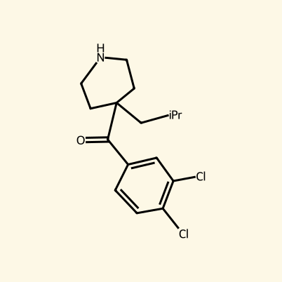 CC(C)CC1(C(=O)c2ccc(Cl)c(Cl)c2)CCNCC1